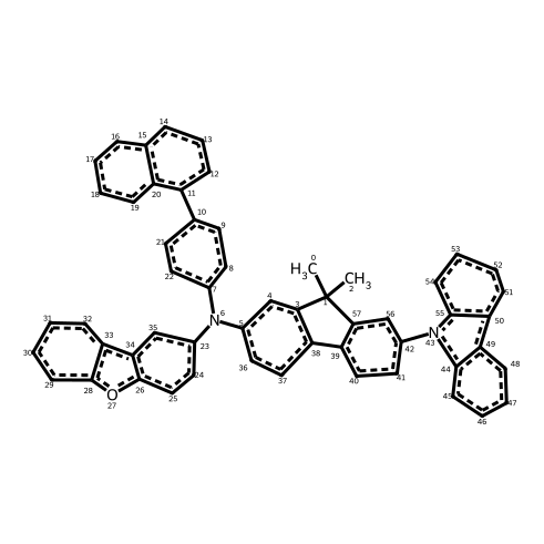 CC1(C)c2cc(N(c3ccc(-c4cccc5ccccc45)cc3)c3ccc4oc5ccccc5c4c3)ccc2-c2ccc(-n3c4ccccc4c4ccccc43)cc21